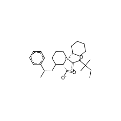 CCC(C)(C)C(=O)C(=O)[N@+]1(C2CCCCC2)CCCC(CC(C)c2ccccc2)[C@H]1C(=O)[O-]